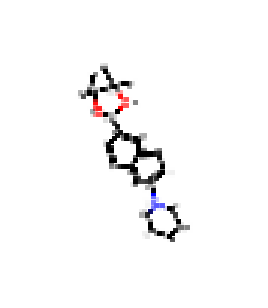 CC1(C)OB(c2ccc3cc(N4CCCCC4)ccc3c2)OC1(C)C